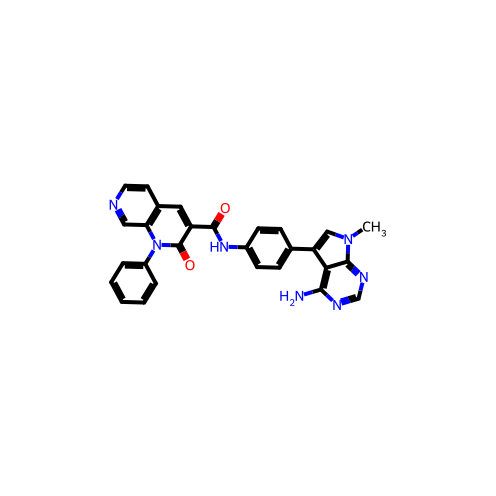 Cn1cc(-c2ccc(NC(=O)c3cc4ccncc4n(-c4ccccc4)c3=O)cc2)c2c(N)ncnc21